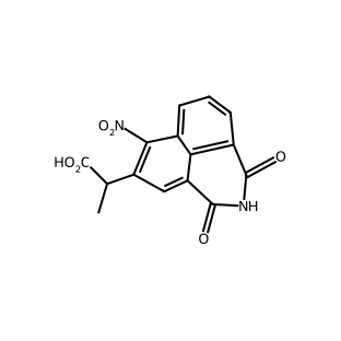 CC(C(=O)O)c1cc2c3c(cccc3c1[N+](=O)[O-])C(=O)NC2=O